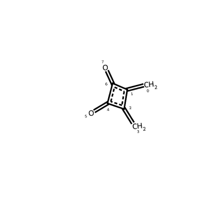 C=c1c(=C)c(=O)c1=O